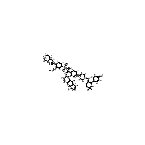 CC1(C)CCC(CN2CCN(c3ccc(C(=O)NS(=O)(=O)c4ccc(NCC5CCOCC5)c([N+](=O)[O-])c4)c(N4CCSc5nc6[nH]ccc6cc54)c3)CC2)=C(c2ccc(Cl)cc2)C1